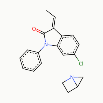 C1CN2CC12.CC=C1C(=O)N(c2ccccc2)c2cc(Cl)ccc21